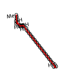 COCCOCCOCCNC(=O)CCN1C(=O)CC(CCCOP(=O)(O)OCCOP(=O)(O)OCCCCNC(=O)CCOCCOCCOCCOCCOCCOCCOCCOCCOCCOCCOCCOCCOCCOCCOCCOCCOCCOCCOCCOCCOCCOCCOCCOCCNC(=O)CCN2C(=O)C=CC2=O)C1=O